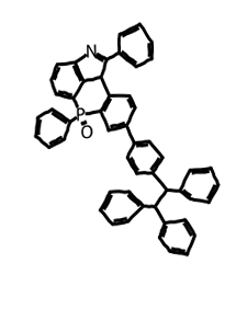 O=P1(c2ccccc2)c2cc(-c3ccc(C(c4ccccc4)C(c4ccccc4)c4ccccc4)cc3)ccc2C2C(c3ccccc3)=Nc3cccc1c32